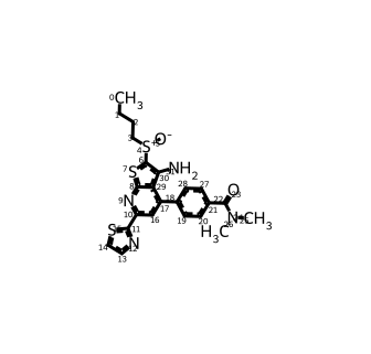 CCCC[S+]([O-])c1sc2nc(-c3nccs3)cc(-c3ccc(C(=O)N(C)C)cc3)c2c1N